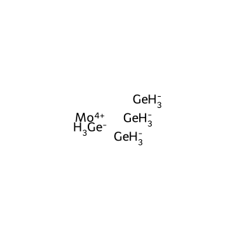 [GeH3-].[GeH3-].[GeH3-].[GeH3-].[Mo+4]